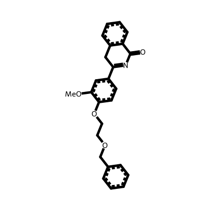 COc1cc(C2=NC(=O)c3ccccc3C2)ccc1OCCOCc1ccccc1